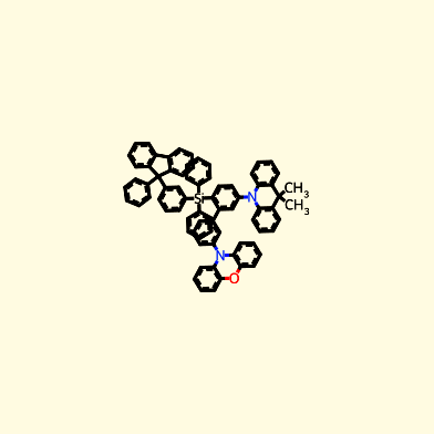 CC1(C)c2ccccc2N(c2ccc([Si](c3ccccc3)(c3ccccc3)c3cccc(C4(c5ccccc5)c5ccccc5-c5ccccc54)c3)c(-c3cccc(N4c5ccccc5Oc5ccccc54)c3)c2)c2ccccc21